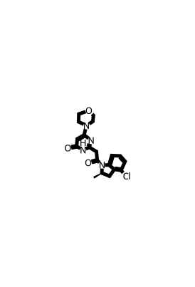 C[C@@H]1Cc2c(Cl)cccc2N1C(=O)Cc1nc(N2CCOCC2)cc(=O)[nH]1